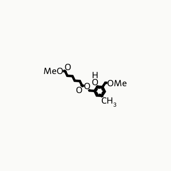 COCc1cc(C)cc(COC(=O)CCCCC(=O)OC)c1O